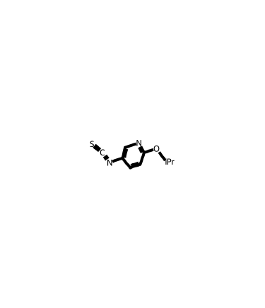 CC(C)Oc1ccc(N=C=S)cn1